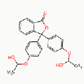 CC(O)Oc1ccc(C2(c3ccc(OC(C)O)cc3)OC(=O)c3ccccc32)cc1